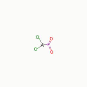 O=[P](=O)[Al]([Cl])[Cl]